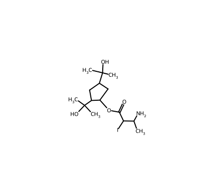 CC(N)C(I)C(=O)OC1CC(C(C)(C)O)CC1C(C)(C)O